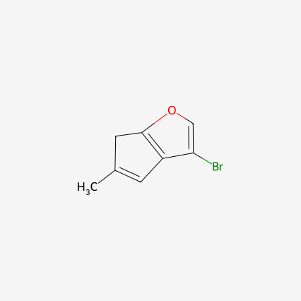 CC1=Cc2c(Br)coc2C1